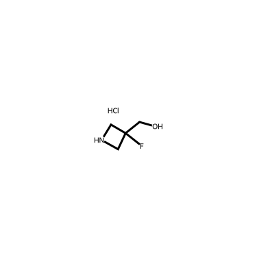 Cl.OCC1(F)CNC1